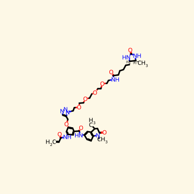 C=CC(=O)Nc1cc(OCc2cnnn2CCOCCOCCOCCOCCNC(=O)CCCCC[C@@H]2NC(=O)N[C@@H]2C)cc(C(=O)Nc2ccc3c(c2)C(C)CC(=O)N3C)c1